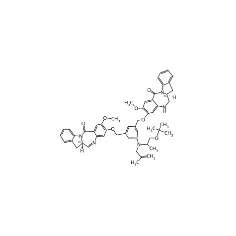 C=C(C)CN(c1cc(COc2cc3c(cc2OC)C(=O)N2c4ccccc4C[C@H]2C=N3)cc(COc2cc3c(cc2OC)C(=O)N2c4ccccc4C[C@H]2CN3)c1)C(C)COC(C)(C)C